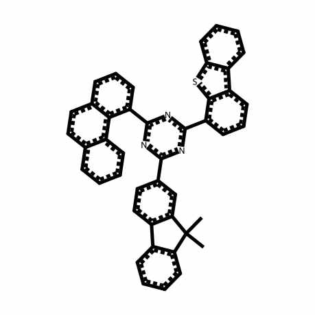 CC1(C)c2ccccc2-c2ccc(-c3nc(-c4cccc5c4sc4ccccc45)nc(-c4cccc5ccc6ccccc6c45)n3)cc21